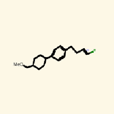 COCC1CCC(c2ccc(CC/C=C/F)cc2)CC1